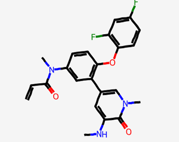 C=CC(=O)N(C)c1ccc(Oc2ccc(F)cc2F)c(-c2cc(NC)c(=O)n(C)c2)c1